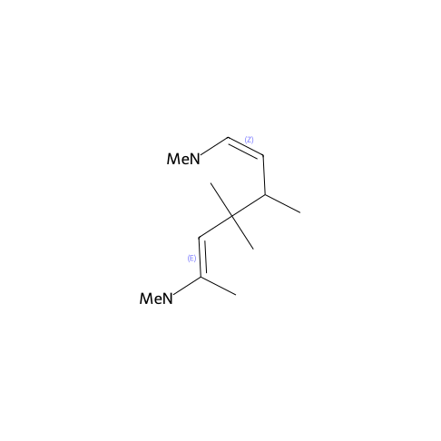 CN/C=C\C(C)C(C)(C)/C=C(\C)NC